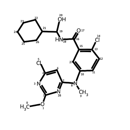 COc1nc(Cl)cc(N(C)c2ccc(Cl)c(C(=O)NC(O)C3CCCCC3)c2)n1